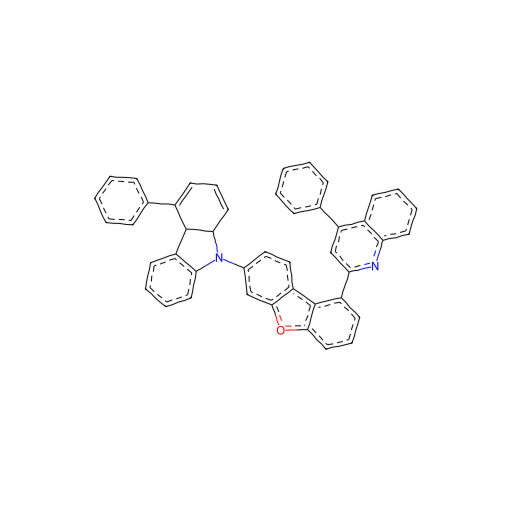 C1=CC2C(C(c3ccccc3)=C1)c1ccccc1N2c1ccc2c(c1)oc1cccc(-c3cc(-c4ccccc4)c4ccccc4n3)c12